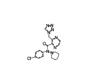 O=C(c1nccnc1Cn1cnnn1)N(c1ccc(Cl)cc1)N1CCCCC1